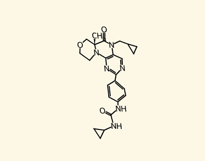 C[C@]12COCCN1c1nc(-c3ccc(NC(=O)NC4CC4)cc3)ncc1N(CC1CC1)C2=O